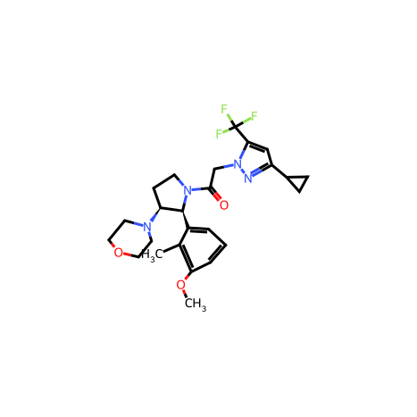 COc1cccc([C@H]2[C@@H](N3CCOCC3)CCN2C(=O)Cn2nc(C3CC3)cc2C(F)(F)F)c1C